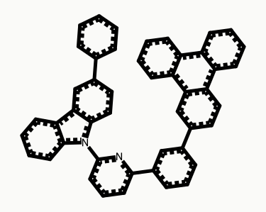 c1ccc(-c2ccc3c(c2)c2ccccc2n3-c2cccc(-c3cccc(-c4ccc5c6ccccc6c6ccccc6c5c4)c3)n2)cc1